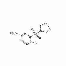 Cc1ccc(C(=O)O)cc1S(=O)(=O)N1CCCC1